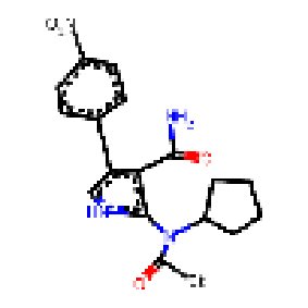 CCC(=O)N(c1[nH]cc(-c2ccc([N+](=O)[O-])cc2)c1C(N)=O)C1CCCC1